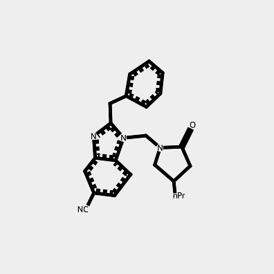 CCCC1CC(=O)N(Cn2c(Cc3ccccc3)nc3cc(C#N)ccc32)C1